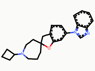 c1ccc2c(c1)ncn2-c1ccc2c(c1)OC1(CCCN(C3CCC3)CC1)C2